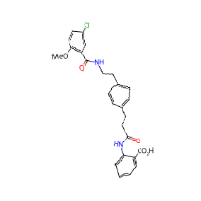 COc1ccc(Cl)cc1C(=O)NCCc1ccc(CCC(=O)Nc2ccccc2C(=O)O)cc1